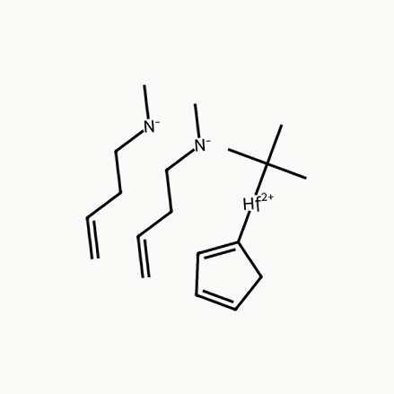 C=CCC[N-]C.C=CCC[N-]C.C[C](C)(C)[Hf+2][C]1=CC=CC1